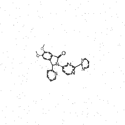 COc1cc2c(cc1OC)C(c1ccccn1)N(c1ccnc(-c3ncccn3)n1)C2=O